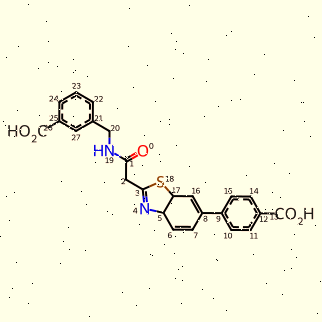 O=C(CC1=NC2C=CC(c3ccc(C(=O)O)cc3)=CC2S1)NCc1cccc(C(=O)O)c1